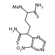 CNC(CCC(C(N)=S)c1ncncc1[N+](=O)[O-])C(N)=S